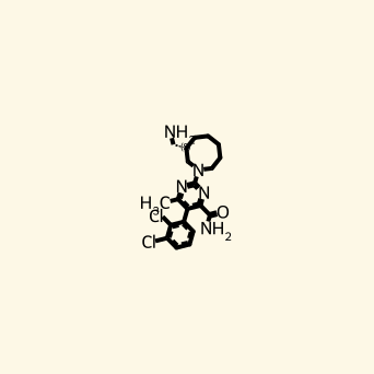 Cc1nc(N2CCCCC[C@@H](CN)C2)nc(C(N)=O)c1-c1cccc(Cl)c1Cl